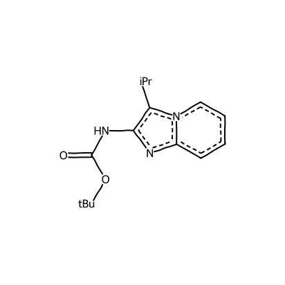 CC(C)c1c(NC(=O)OC(C)(C)C)nc2ccccn12